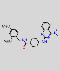 COc1ccc(CNC(=O)[C@H]2CC[C@@H](Nc3nc(N(C)C)c4ccccc4n3)CC2)c(OC)c1